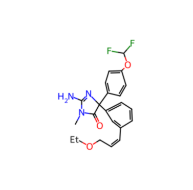 CCOC/C=C\c1cccc(C2(c3ccc(OC(F)F)cc3)N=C(N)N(C)C2=O)c1